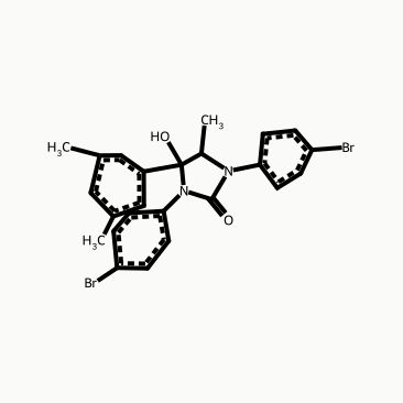 Cc1cc(C)cc(C2(O)C(C)N(c3ccc(Br)cc3)C(=O)N2c2ccc(Br)cc2)c1